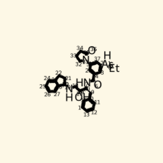 CC[AsH]c1cc(C(=O)N[C@@H](Cc2ccccc2)[C@H](O)CN[C@@H]2CCc3ccccc32)cc(N2CCCC2=O)c1